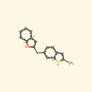 Cc1cc2ccc(Cc3cc4ccccc4o3)cc2s1